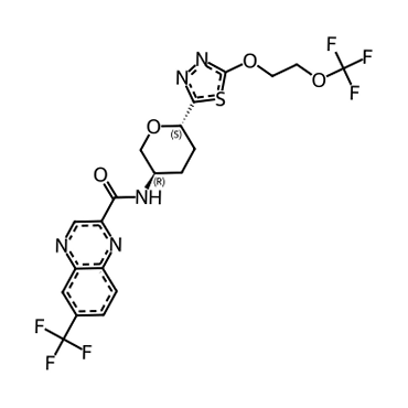 O=C(N[C@@H]1CC[C@@H](c2nnc(OCCOC(F)(F)F)s2)OC1)c1cnc2cc(C(F)(F)F)ccc2n1